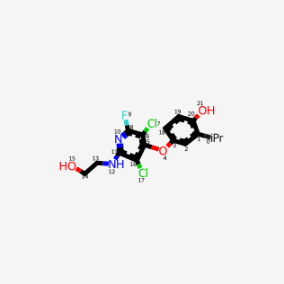 CC(C)c1cc(Oc2c(Cl)c(F)nc(NCCO)c2Cl)ccc1O